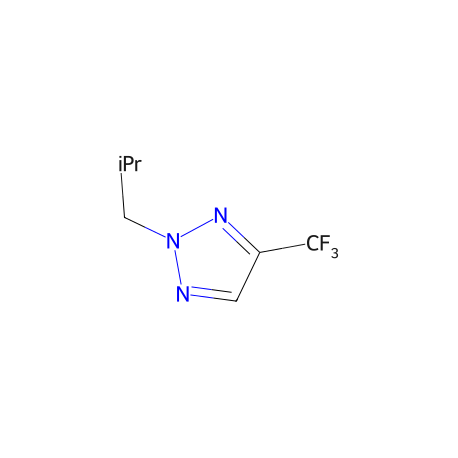 CC(C)Cn1ncc(C(F)(F)F)n1